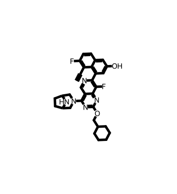 C#Cc1c(F)ccc2cc(O)cc(-c3ncc4c(N5CC6CCC(C5)N6)nc(OCC5CCCCC5)nc4c3F)c12